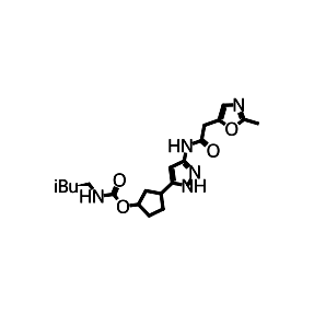 CC[C@H](C)CNC(=O)OC1CCC(c2cc(NC(=O)Cc3cnc(C)o3)n[nH]2)C1